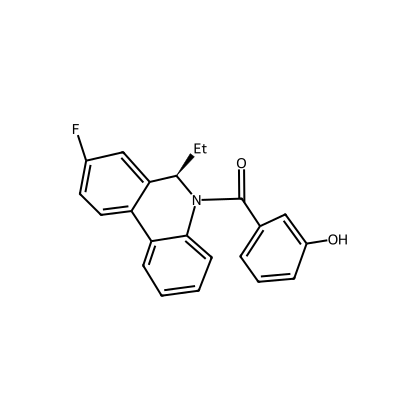 CC[C@@H]1c2cc(F)ccc2-c2ccccc2N1C(=O)c1cccc(O)c1